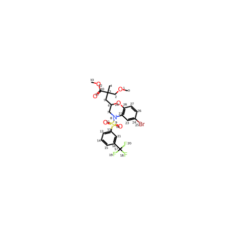 COCC(C)(CC1CN(S(=O)(=O)c2cccc(C(F)(F)F)c2)c2cc(Br)ccc2O1)C(=O)OC